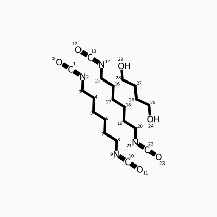 O=C=NCCCCCCN=C=O.O=C=NCCCCCCN=C=O.OCCCCO